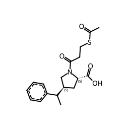 CC(=O)SCCC(=O)N1C[C@H](C(C)c2ccccc2)C[C@H]1C(=O)O